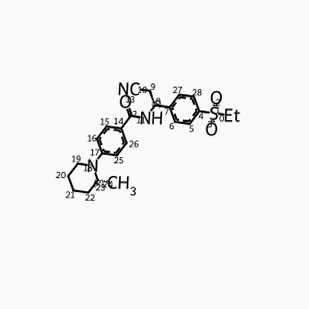 CCS(=O)(=O)c1ccc([C@H](CC#N)NC(=O)c2ccc(N3CCCC[C@H]3C)cc2)cc1